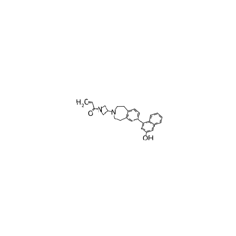 C=CC(=O)N1CC(N2CCc3ccc(-c4cc(O)cc5ccccc45)cc3CC2)C1